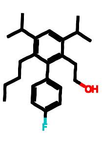 CCCCc1c(C(C)C)cc(C(C)C)c(CCO)c1-c1ccc(F)cc1